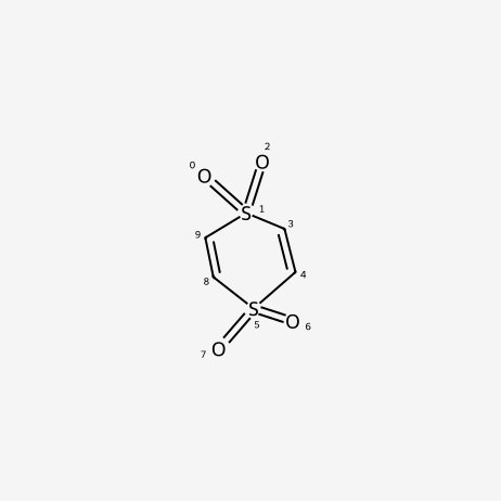 O=S1(=O)C=CS(=O)(=O)C=C1